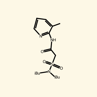 CCC(C)N(C(C)CC)S(=O)(=O)CC(=O)Nc1ncccc1C